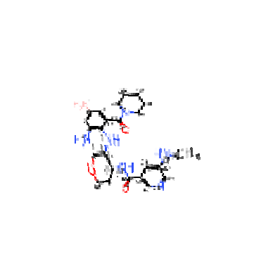 Bc1cc(N)c(N[C@@H]2COCC[C@@H]2NC(=O)c2cncc(NC)c2)c(C(=O)N2CCCCC2)c1